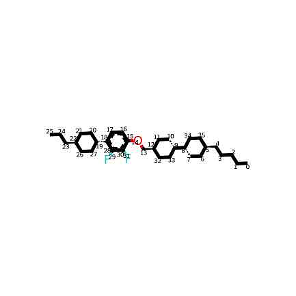 CCCCC[C@H]1CC[C@H]([C@H]2CC[C@H](COc3ccc([C@H]4CC[C@H](CCC)CC4)c(F)c3F)CC2)CC1